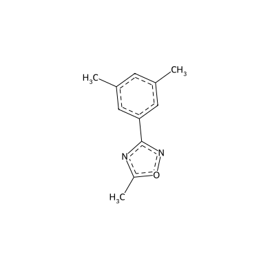 Cc1cc(C)cc(-c2noc(C)n2)c1